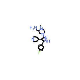 CN1CCN(c2n[nH]c(-c3ccc(F)cc3)c2-c2ccncc2)CC1CN